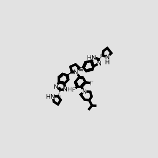 CC(C)C1CCN(c2c(F)cc(N3[C@@H](c4ccc5nc([C@@H]6CCCN6)[nH]c5c4)CC[C@@H]3c3ccc4nc([C@@H]5CCCN5)[nH]c4c3)cc2F)CC1